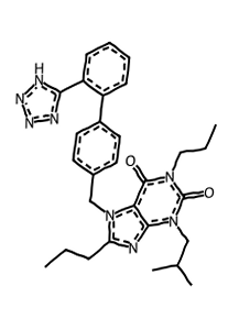 CCCc1nc2c(c(=O)n(CCC)c(=O)n2CC(C)C)n1Cc1ccc(-c2ccccc2-c2nnn[nH]2)cc1